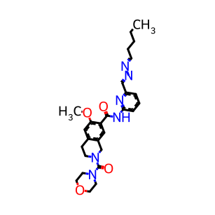 CCCC/C=N/N=C/c1cccc(NC(=O)c2cc3c(cc2OC)CCN(C(=O)N2CCOCC2)C3)n1